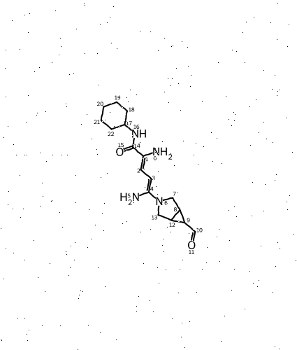 N/C(=C\C=C(/N)N1CC2C(C=O)C2C1)C(=O)NC1CCCCC1